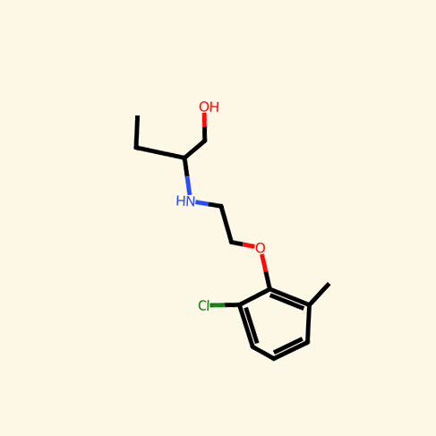 CCC(CO)NCCOc1c(C)cccc1Cl